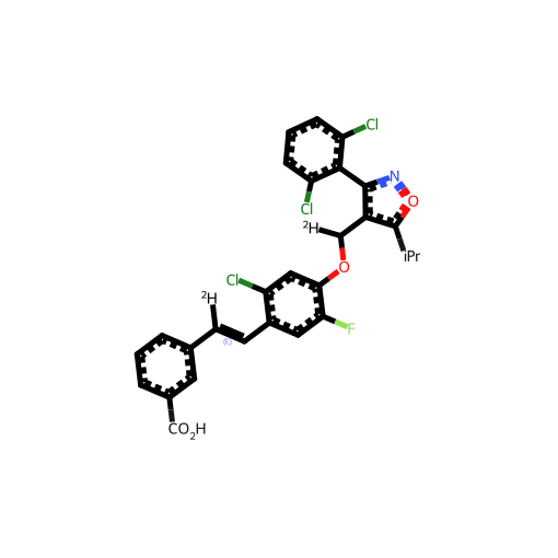 [2H]/C(=C\c1cc(F)c(OC([2H])c2c(-c3c(Cl)cccc3Cl)noc2C(C)C)cc1Cl)c1cccc(C(=O)O)c1